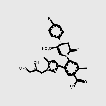 COC[C@@H](O)Cn1nc(-c2cc(C(N)=O)c(C)cc2N2C=C(C(=O)O)[C@H](c3ccc(F)cc3)CC2=O)cc1C